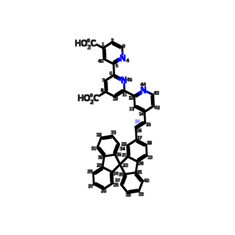 O=C(O)c1ccnc(-c2cc(C(=O)O)cc(-c3cc(/C=C/c4ccc5c(c4)C4(c6ccccc6-c6ccccc64)c4ccccc4-5)ccn3)n2)c1